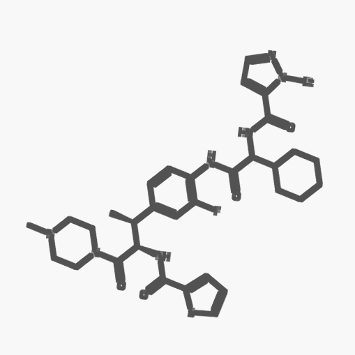 CCn1nccc1C(=O)NC(C(=O)Nc1ccc([C@H](C)[C@@H](NC(=O)c2cccs2)C(=O)N2CCN(C)CC2)cc1F)C1CCCCC1